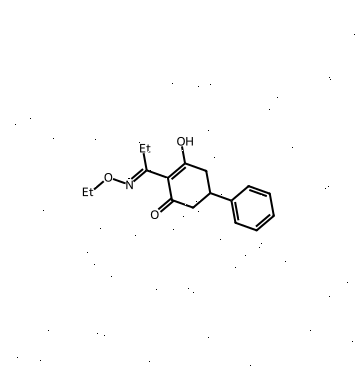 CCON=C(CC)C1=C(O)CC(c2ccccc2)CC1=O